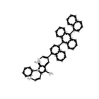 C=c1/c(=C\C(=C/C)c2ccc(-c3c4ccccc4c(-c4cccc5ccccc45)c4ccccc34)c3ccccc23)c(C)c(/C=C\N)n1-c1ccccc1